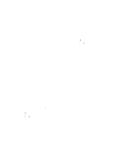 NC1CCSc2sc(S(N)(=O)=O)cc21